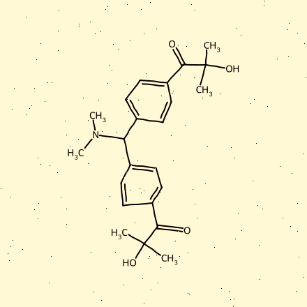 CN(C)C(c1ccc(C(=O)C(C)(C)O)cc1)c1ccc(C(=O)C(C)(C)O)cc1